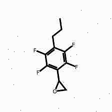 CCCc1c(F)c(F)c(C2CO2)c(F)c1F